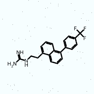 N=C(N)NCCc1cccc2c(-c3ccc(C(F)(F)F)cc3)cccc12